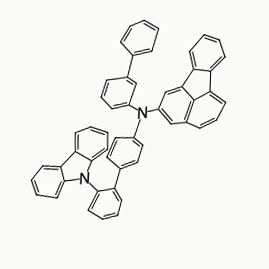 c1ccc(-c2cccc(N(c3ccc(-c4ccccc4-n4c5ccccc5c5ccccc54)cc3)c3cc4c5c(cccc5c3)-c3ccccc3-4)c2)cc1